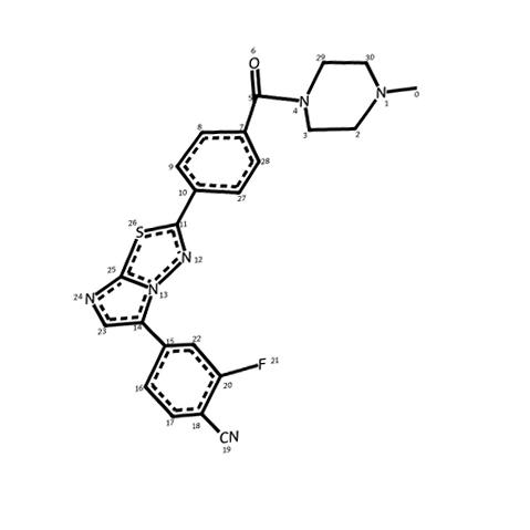 CN1CCN(C(=O)c2ccc(-c3nn4c(-c5ccc(C#N)c(F)c5)cnc4s3)cc2)CC1